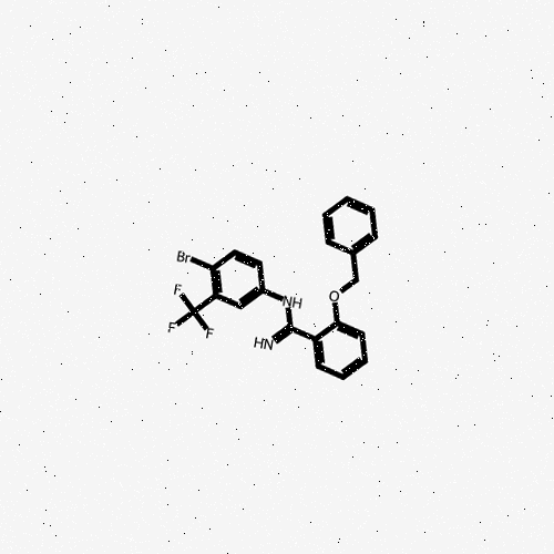 N=C(Nc1ccc(Br)c(C(F)(F)F)c1)c1ccccc1OCc1ccccc1